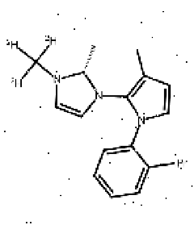 [2H]C([2H])([2H])N1C=CN(c2c(C)ccn2-c2ccccc2C(C)C)[C@H]1C